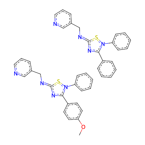 COc1ccc(-c2nc(=NCc3cccnc3)sn2-c2ccccc2)cc1.c1ccc(-c2nc(=NCc3cccnc3)sn2-c2ccccc2)cc1